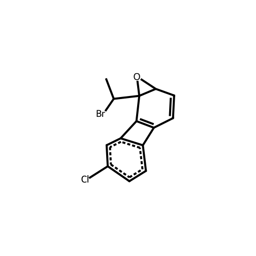 CC(Br)C12OC1C=CC1=C2c2cc(Cl)ccc21